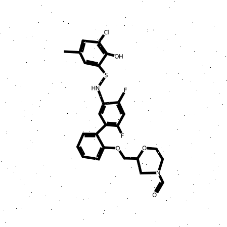 Cc1cc(Cl)c(O)c(SNc2cc(-c3ccccc3OCC3CN(C=O)CCO3)c(F)cc2F)c1